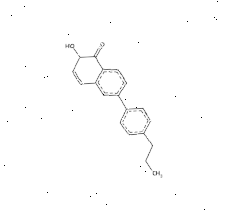 CCCc1ccc(-c2ccc3c(c2)C=CC(O)C3=O)cc1